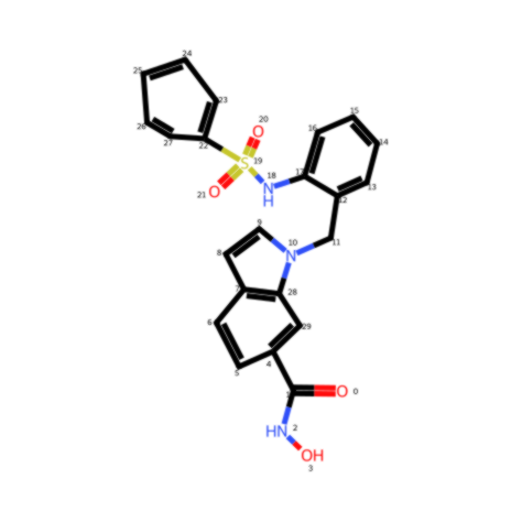 O=C(NO)c1ccc2ccn(Cc3ccccc3NS(=O)(=O)c3ccccc3)c2c1